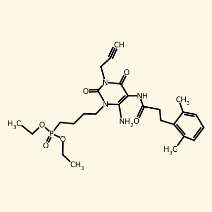 C#CCn1c(=O)c(NC(=O)CCc2c(C)cccc2C)c(N)n(CCCCP(=O)(OCC)OCC)c1=O